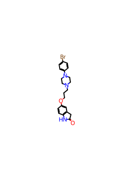 O=C1Cc2cc(OCCCN3CCN(c4ccc(Br)cc4)CC3)ccc2N1